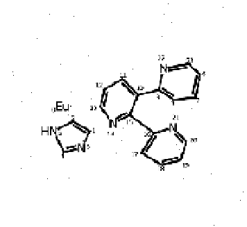 [Eu].c1c[nH]cn1.c1ccc(-c2cccnc2-c2ccccn2)nc1